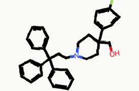 OCC1(c2ccc(F)cc2)CCN(CCC(c2ccccc2)(c2ccccc2)c2ccccc2)CC1